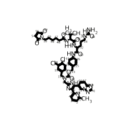 Cc1cccc(-c2nc(CN(Cc3ccc(Cl)c(Cl)c3)C(=O)OCc3ccc(NC(=O)C(CCCNC(N)=O)NC(=O)[C@@H](NC(=O)CCCCCN4C(=O)C=CC4=O)C(C)C)cc3)[nH]c2-c2ccc3ncnn3c2)n1